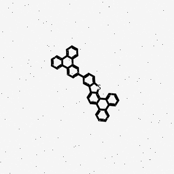 c1ccc2c(c1)c1ccccc1c1cc(-c3ccc4sc5c(ccc6c7ccccc7c7ccccc7c65)c4c3)ccc21